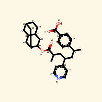 CC(CC(CC(C)c1ccc(C(=O)O)cc1)c1ccncc1)C(=O)OC1CC2CCC3CC2CC1C3